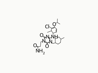 CC1CCC(Cn2c(NC3C=CC(OC(C)C)=C(Cl)C3C)nc(=O)n(CCC(N)=O)c2=O)CC1